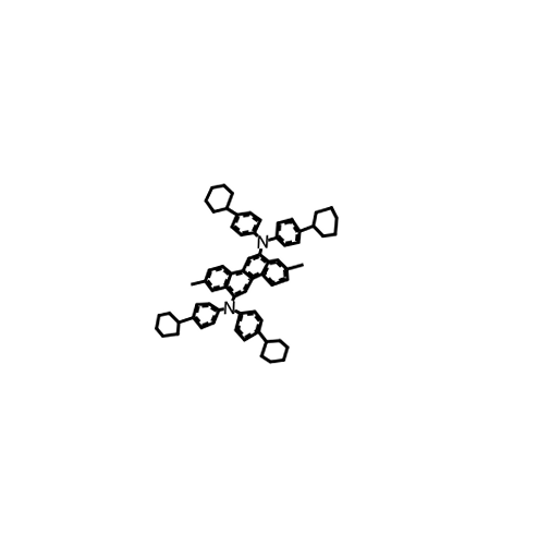 Cc1ccc2c(c1)c(N(c1ccc(C3CCCCC3)cc1)c1ccc(C3CCCCC3)cc1)cc1c3ccc(C)cc3c(N(c3ccc(C4CCCCC4)cc3)c3ccc(C4CCCCC4)cc3)cc21